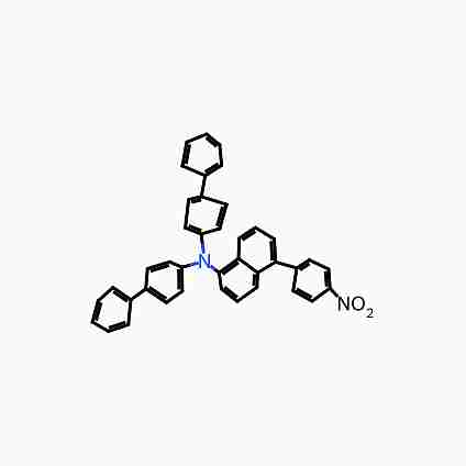 O=[N+]([O-])c1ccc(-c2cccc3c(N(c4ccc(-c5ccccc5)cc4)c4ccc(-c5ccccc5)cc4)cccc23)cc1